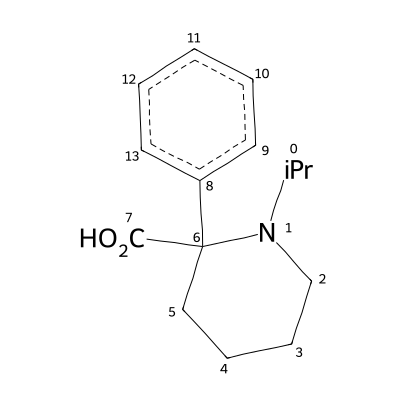 CC(C)N1CCCCC1(C(=O)O)c1ccccc1